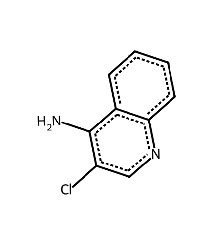 Nc1c(Cl)cnc2ccccc12